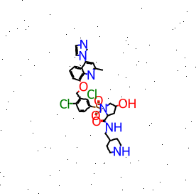 Cc1cc(-n2ccnc2)c2cccc(OCc3c(Cl)ccc(S(=O)(=O)N4CC(O)CC4C(=O)NCC4CCNCC4)c3Cl)c2n1